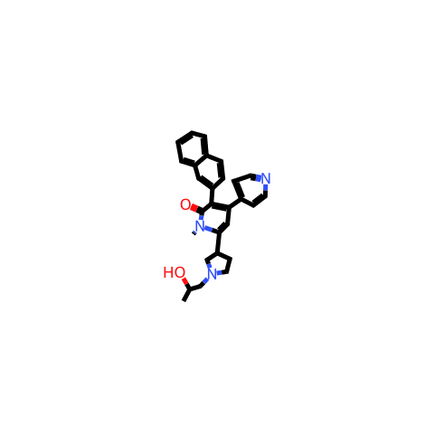 CC(O)CN1CCC(c2cc(-c3ccncc3)c(-c3ccc4ccccc4c3)c(=O)n2C)C1